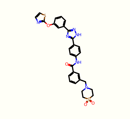 O=C(Nc1ccc(-c2nc(-c3cccc(Oc4nccs4)c3)n[nH]2)cc1)c1cccc(CN2CCS(=O)(=O)CC2)c1